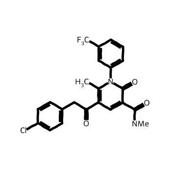 CNC(=O)c1cc(C(=O)Cc2ccc(Cl)cc2)c(C)n(-c2cccc(C(F)(F)F)c2)c1=O